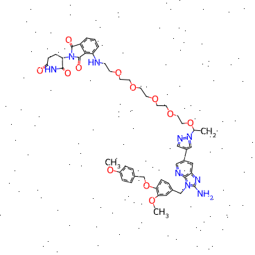 [CH2]C(OCCOCCOCCOCCOCCNc1cccc2c1C(=O)N(C1CCC(=O)NC1=O)C2=O)n1cc(-c2cnc3c(c2)nc(N)n3Cc2ccc(OCc3ccc(OC)cc3)c(OC)c2)cn1